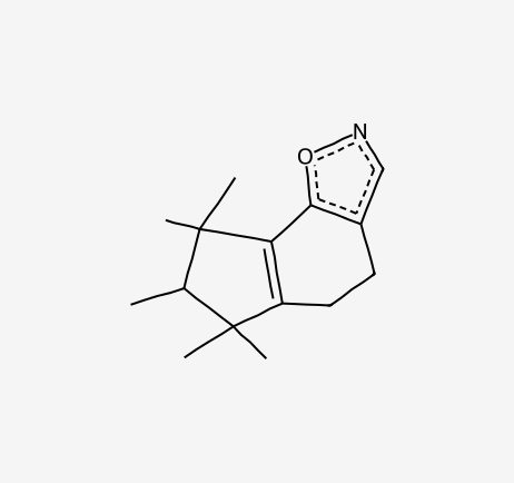 CC1C(C)(C)C2=C(c3oncc3CC2)C1(C)C